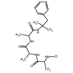 CC(NCl)C(=O)NC(C)C(=O)NC(C)C(=O)NC(C)(C)Cc1ccccc1